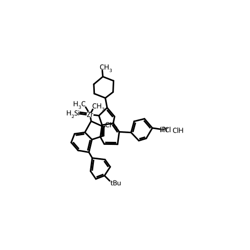 CC1=Cc2c(-c3ccc(C(C)(C)C)cc3)cccc2[CH]1[Zr]([CH3])([CH3])(=[SiH2])[CH]1C(C2CCC(C)CC2)=Cc2c(-c3ccc(C(C)C)cc3)cccc21.Cl.Cl